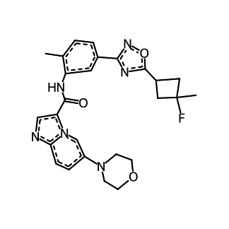 Cc1ccc(-c2noc(C3CC(C)(F)C3)n2)cc1NC(=O)c1cnc2ccc(N3CCOCC3)cn12